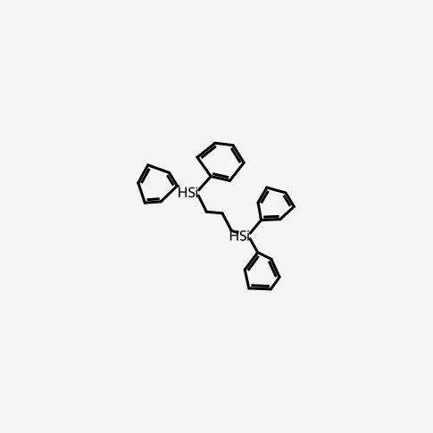 c1ccc([SiH](CCC[SiH](c2ccccc2)c2ccccc2)c2ccccc2)cc1